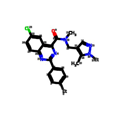 CCc1ccc(-c2nc(C(=O)N(C)Cc3cnn(CC)c3C)c3cc(Cl)ccc3n2)cc1